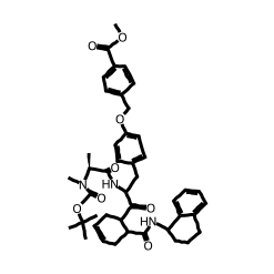 COC(=O)c1ccc(COc2ccc(CC(NC(=O)[C@H](C)N(C)C(=O)OC(C)(C)C)C(=O)C3CC=CCC3C(=O)NC3CCCc4ccccc43)cc2)cc1